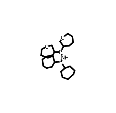 C1CCCC(P(NP(C2CCCCCC2)C2CCCCCC2)C2CCCCCC2)CC1